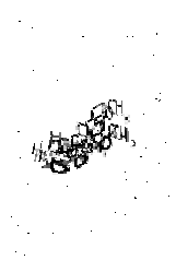 COC(=O)c1cc(-c2c(OC)cccc2OC)c(OCC(C)(C)CO[Si](c2ccccc2)(c2ccccc2)C(C)(C)C)c(=O)o1